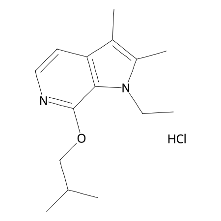 CCn1c(C)c(C)c2ccnc(OCC(C)C)c21.Cl